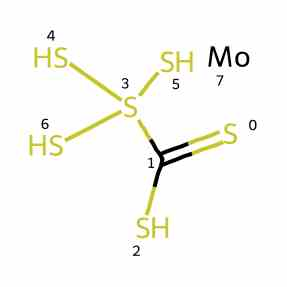 S=C(S)S(S)(S)S.[Mo]